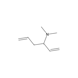 C=CC[C](C=C)N(C)C